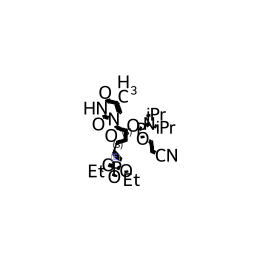 CCOP(=O)(/C=C/[C@@H]1C[C@H](OP(OCCC#N)N(C(C)C)C(C)C)C(n2cc(C)c(=O)[nH]c2=O)O1)OCC